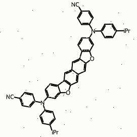 CC(C)c1ccc(N(c2ccc(C#N)cc2)c2ccc3c(c2)oc2cc4cc5oc6cc(N(c7ccc(C#N)cc7)c7ccc(C(C)C)cc7)ccc6c5cc4cc23)cc1